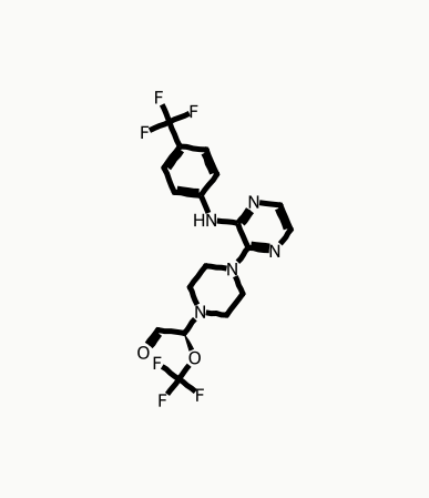 O=C[C@H](OC(F)(F)F)N1CCN(c2nccnc2Nc2ccc(C(F)(F)F)cc2)CC1